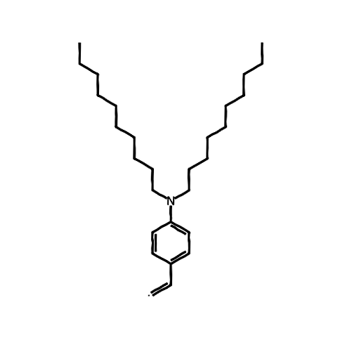 [CH]=Cc1ccc(N(CCCCCCCCCC)CCCCCCCCCC)cc1